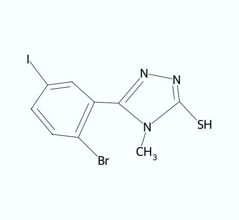 Cn1c(S)nnc1-c1cc(I)ccc1Br